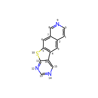 c1cc2cc3c(cc2cn1)sc1ncncc13